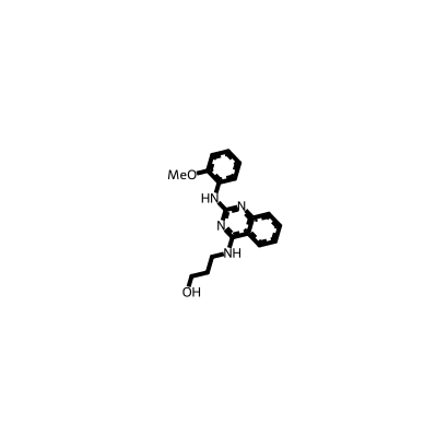 COc1ccccc1Nc1nc(NCCCO)c2ccccc2n1